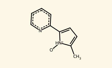 CC1=CC=C(c2ccccn2)[NH+]1[O-]